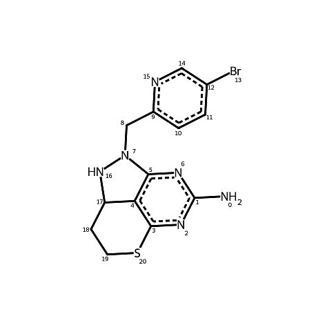 Nc1nc2c3c(n1)N(Cc1ccc(Br)cn1)NC3CCS2